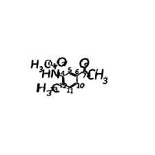 CC(=O)Nc1cc(C(C)=O)ccc1C